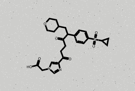 O=C(O)Cn1cnc(C(=O)CCC(=O)C(CC2CCOCC2)c2ccc(S(=O)(=O)C3CC3)cc2)c1